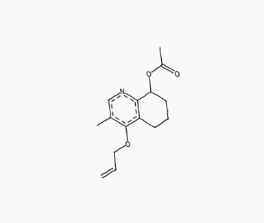 C=CCOc1c(C)cnc2c1CCCC2OC(C)=O